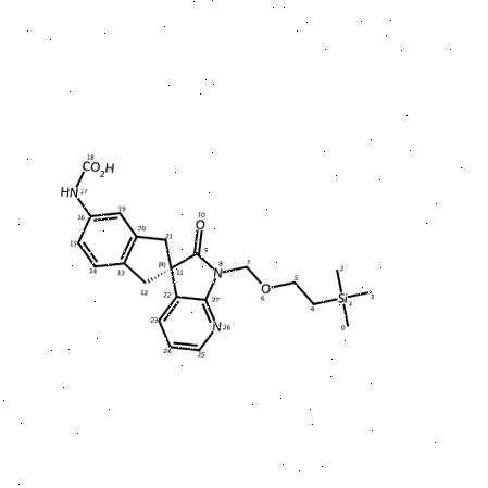 C[Si](C)(C)CCOCN1C(=O)[C@@]2(Cc3ccc(NC(=O)O)cc3C2)c2cccnc21